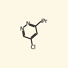 CC(C)c1cc(Cl)cnn1